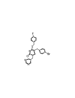 O=c1nc(SCc2ccc(F)cc2)n(Cc2ccc(Br)cc2)cc1Cc1cncnc1